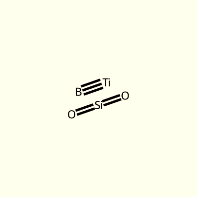 O=[Si]=O.[B]#[Ti]